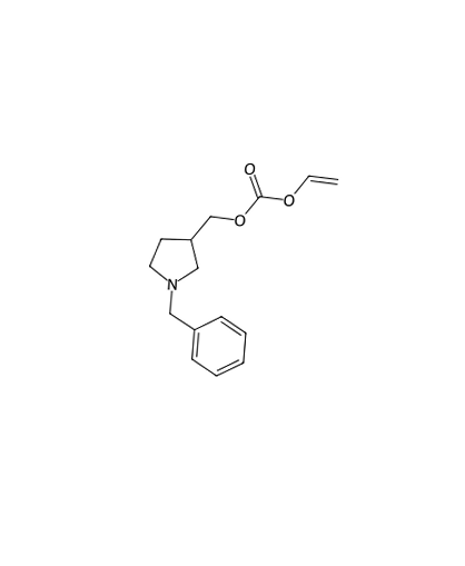 C=COC(=O)OCC1CCN(Cc2ccccc2)C1